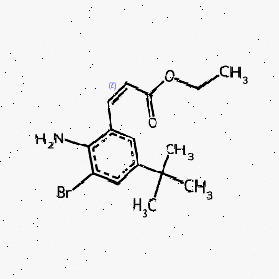 CCOC(=O)/C=C\c1cc(C(C)(C)C)cc(Br)c1N